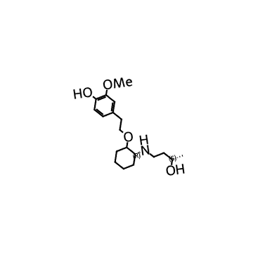 COc1cc(CCOC2CCCC[C@H]2NCC[C@H](C)O)ccc1O